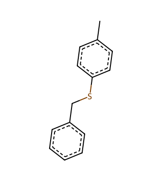 Cc1ccc(SCc2ccccc2)cc1